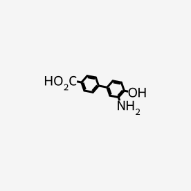 Nc1cc(-c2ccc(C(=O)O)cc2)ccc1O